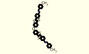 Cc1ccc(/C=C/c2ccc3c(c2)sc2c4ccc(Oc5ccc6c(c5)sc5c7ccc(/C=C/c8ccc(C)cc8)cc7sc65)cc4sc32)cc1